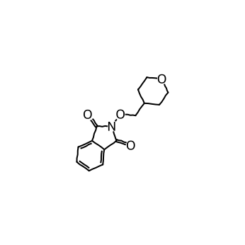 O=C1c2ccccc2C(=O)N1OCC1CCOCC1